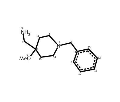 COC1(CN)CCN(Cc2ccccc2)CC1